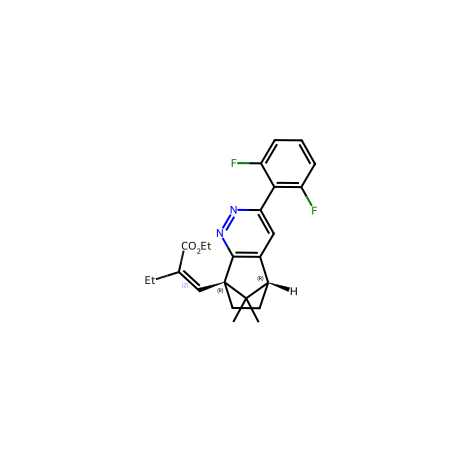 CCOC(=O)/C(=C\[C@@]12CC[C@@H](c3cc(-c4c(F)cccc4F)nnc31)C2(C)C)CC